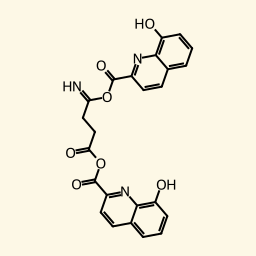 N=C(CCC(=O)OC(=O)c1ccc2cccc(O)c2n1)OC(=O)c1ccc2cccc(O)c2n1